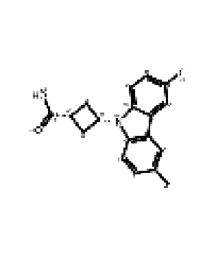 Cc1ccc2c(c1)c1cc(Cl)ccc1n2[C@H]1C[C@@H](C(=O)O)C1